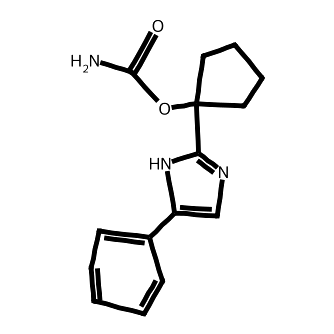 NC(=O)OC1(c2ncc(-c3ccccc3)[nH]2)CCCC1